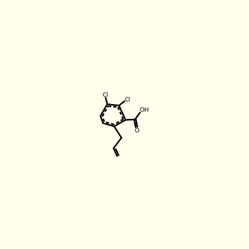 C=CCc1ccc(Cl)c(Cl)c1C(=O)O